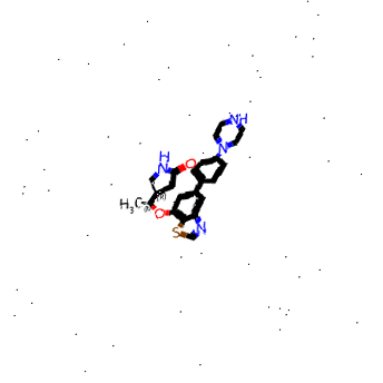 C[C@@H](Oc1cc(-c2ccc(N3CCNCC3)cc2)cc2ncsc12)[C@H]1CNC(=O)C1